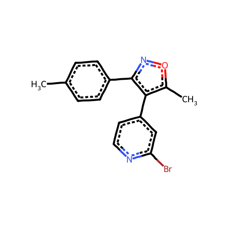 Cc1ccc(-c2noc(C)c2-c2ccnc(Br)c2)cc1